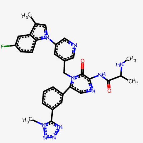 CNC(C)C(=O)Nc1ncc(-c2cccc(-c3nnnn3C)c2)n(Cc2cncc(-n3cc(C)c4cc(F)ccc43)c2)c1=O